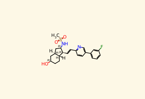 CS(=O)(=O)N[C@@H]1C[C@@H]2C[C@H](O)CC[C@H]2[C@@H]1C=Cc1ccc(-c2cccc(F)c2)cn1